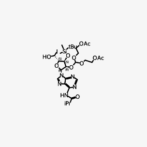 CC(=O)OCCOC(OCCOC(C)=O)O[C@@H]1[C@H](O[Si](C)(C)C(C)(C)C)[C@@H](C(O)I)O[C@H]1n1cnc2c(NC(=O)C(C)C)ncnc21